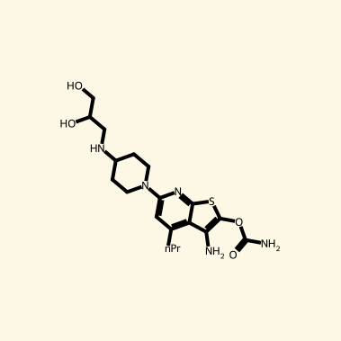 CCCc1cc(N2CCC(NCC(O)CO)CC2)nc2sc(OC(N)=O)c(N)c12